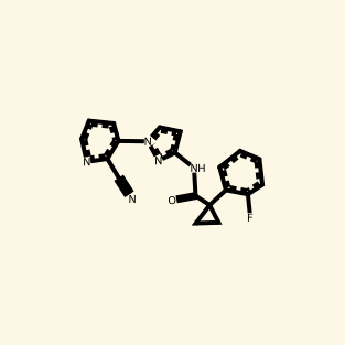 N#Cc1ncccc1-n1ccc(NC(=O)C2(c3ccccc3F)CC2)n1